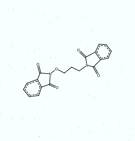 O=C1c2ccccc2C(=O)N1CCCON1C(=O)c2ccccc2C1=O